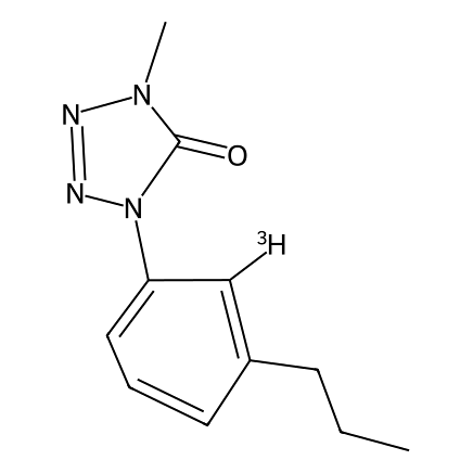 [3H]c1c(CCC)cccc1-n1nnn(C)c1=O